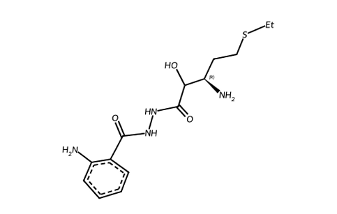 CCSCC[C@@H](N)C(O)C(=O)NNC(=O)c1ccccc1N